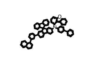 c1ccc(-c2ccc(N(c3ccc4c(c3)C3(c5ccccc5-c5ccccc53)c3cc(-c5cccc(-c6cccc7ccccc67)c5)ccc3-4)c3cccc4oc5ccccc5c34)cc2)cc1